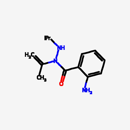 C=C(C)N(NC(C)C)C(=O)c1ccccc1N